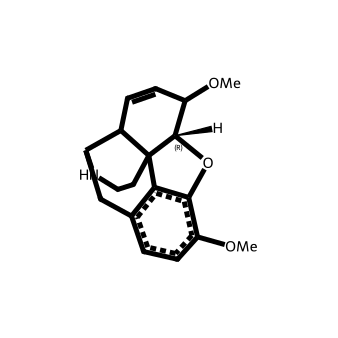 COc1ccc2c3c1O[C@H]1C(OC)C=CC4C(C2)NCCC341